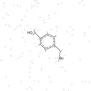 CCC(C)Cc1ccc(S(=O)(=O)O)cc1